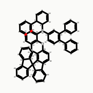 C1=CC(c2ccccc2)C(N(c2ccc(-c3ccccc3)c(-c3ccccc3)c2)c2cccc3c2Oc2ccc4c(c2O3)C2(c3ccccc3-c3ccccc32)c2ccccc2-4)C=C1